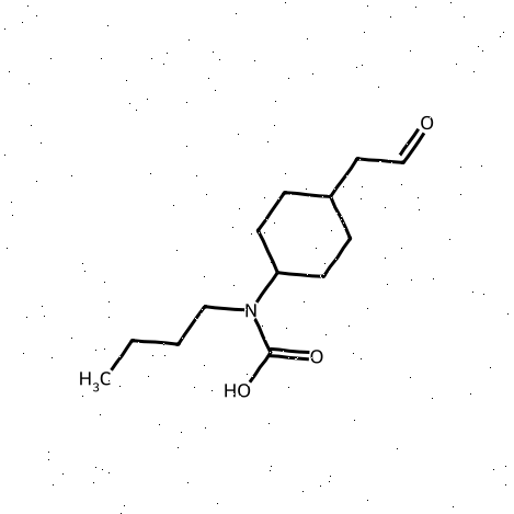 CCCCN(C(=O)O)C1CCC(CC=O)CC1